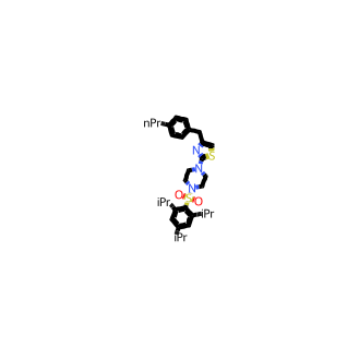 CCCc1ccc(Cc2csc(N3CCN(S(=O)(=O)c4c(C(C)C)cc(C(C)C)cc4C(C)C)CC3)n2)cc1